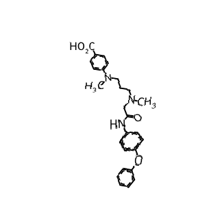 CN(CCCN(C)c1ccc(C(=O)O)cc1)CC(=O)Nc1ccc(Oc2ccccc2)cc1